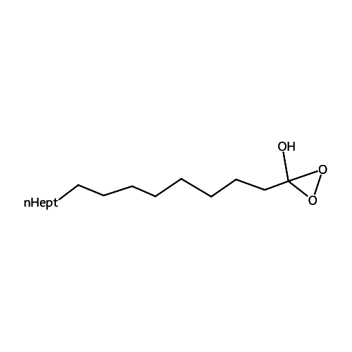 CCCCCCCCCCCCCCCC1(O)OO1